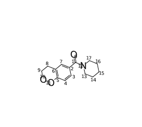 O=C(c1ccc2c(c1)CCOO2)N1CCCCC1